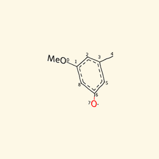 COc1cc(C)cc([O])c1